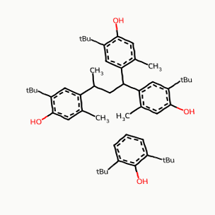 CC(C)(C)c1cccc(C(C)(C)C)c1O.Cc1cc(O)c(C(C)(C)C)cc1C(C)CC(c1cc(C(C)(C)C)c(O)cc1C)c1cc(C(C)(C)C)c(O)cc1C